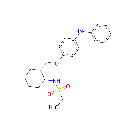 CCS(=O)(=O)N[C@H]1CCCC[C@@H]1COc1ccc(Nc2ccccc2)cc1